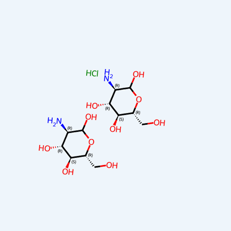 Cl.N[C@H]1C(O)O[C@H](CO)[C@@H](O)[C@@H]1O.N[C@H]1C(O)O[C@H](CO)[C@@H](O)[C@@H]1O